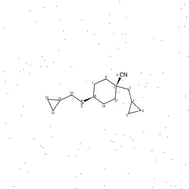 N#C[C@]1(CC2CC2)CC[C@H](SCC2CC2)CC1